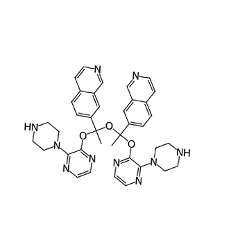 CC(Oc1nccnc1N1CCNCC1)(OC(C)(Oc1nccnc1N1CCNCC1)c1ccc2ccncc2c1)c1ccc2ccncc2c1